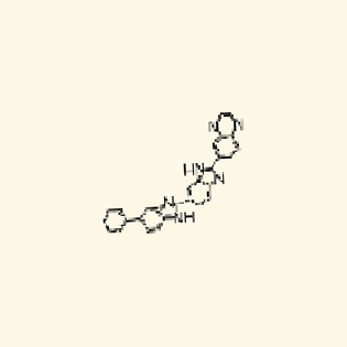 c1ccc(-c2ccc3[nH]c(-c4ccc5nc(-c6ccc7nccnc7c6)[nH]c5c4)nc3c2)cc1